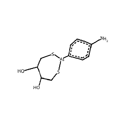 Nc1ccc([As]2SCC(O)C(O)CS2)cc1